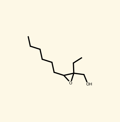 CCCCCCC1OC1(CC)CO